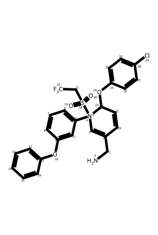 NCC1=C[N+](c2cccc(Oc3ccccc3)c2)(S(=O)(=O)CC(F)(F)F)C(Oc2ccc(Cl)cc2)C=C1